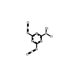 CCN(CC)c1nc(N=C=O)nc(N=C=O)n1